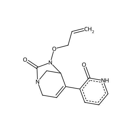 C=CCON1C(=O)N2CC=C(c3ccc[nH]c3=O)C1C2